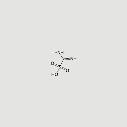 CNC(=N)S(=O)(=O)O